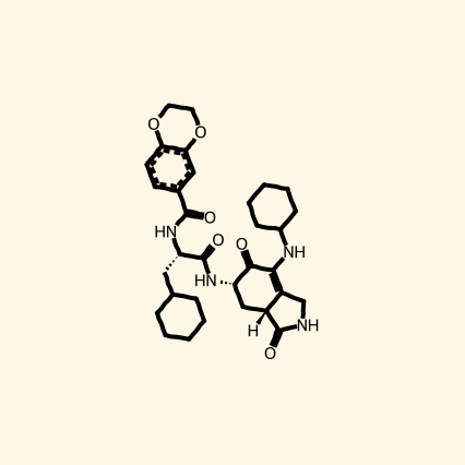 O=C(N[C@@H](CC1CCCCC1)C(=O)N[C@H]1C[C@H]2C(=O)NCC2=C(NC2CCCCC2)C1=O)c1ccc2c(c1)OCCO2